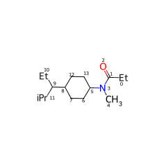 CCC(=O)N(C)C1CCC(C(CC)C(C)C)CC1